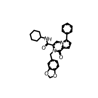 O=C(NC1CCCCC1)c1cn2c(-c3ccccc3)ccc2c(=O)n1Cc1ccc2c(c1)OCO2